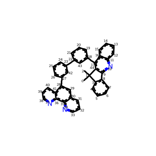 CC1(C)c2ccccc2-c2nc3ccccc3c(-c3cccc(-c4cccc(-c5cc6cccnc6c6ncccc56)c4)c3)c21